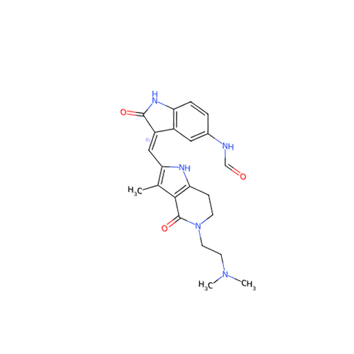 Cc1c(/C=C2/C(=O)Nc3ccc(NC=O)cc32)[nH]c2c1C(=O)N(CCN(C)C)CC2